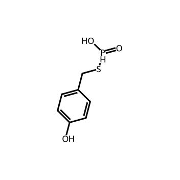 O=[PH](O)SCc1ccc(O)cc1